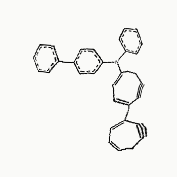 C1#CC(C2=CC=C(N(c3ccccc3)c3ccc(-c4ccccc4)cc3)CC#C2)=CC=CC1